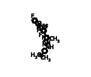 Cc1cc(-c2cc(F)c(NS(=O)(=O)Cc3ccc(F)cc3)c(F)c2F)nc2cnc(N[C@H]3CC[C@H](N(C)C)CC3)nc12